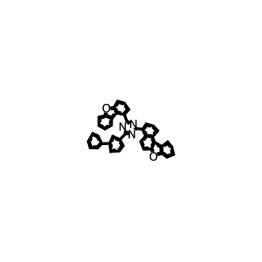 c1ccc(-c2cccc(-c3nc(-c4cccc5c4ccc4oc6ccccc6c45)nc(-c4cccc5oc6ccccc6c45)n3)c2)cc1